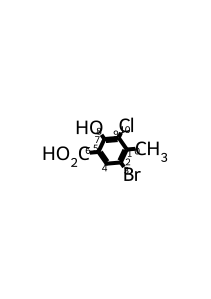 Cc1c(Br)cc(C(=O)O)c(O)c1Cl